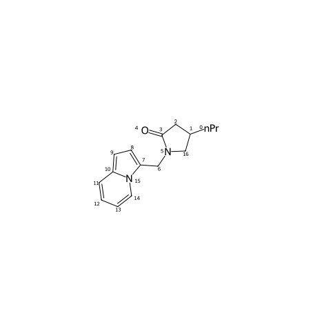 CCCC1CC(=O)N(Cc2ccc3ccccn23)C1